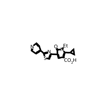 CCn1c(C2CC2)c(C(=O)O)cc(-c2csc(-c3ccncc3)n2)c1=O